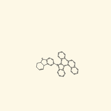 C1=CC2c3cc(-n4c5ccccc5c5c6c7ccccc7ccc6c6ccccc6c54)ccc3SC2CC1